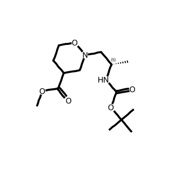 COC(=O)C1CCON(C[C@H](C)NC(=O)OC(C)(C)C)C1